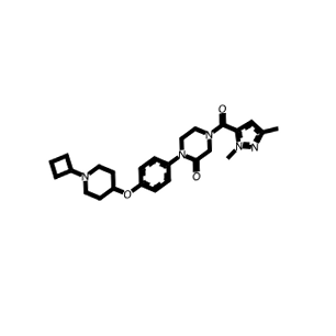 Cc1cc(C(=O)N2CCN(c3ccc(OC4CCN(C5CCC5)CC4)cc3)C(=O)C2)n(C)n1